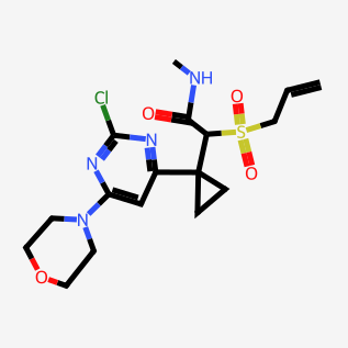 C=CCS(=O)(=O)C(C(=O)NC)C1(c2cc(N3CCOCC3)nc(Cl)n2)CC1